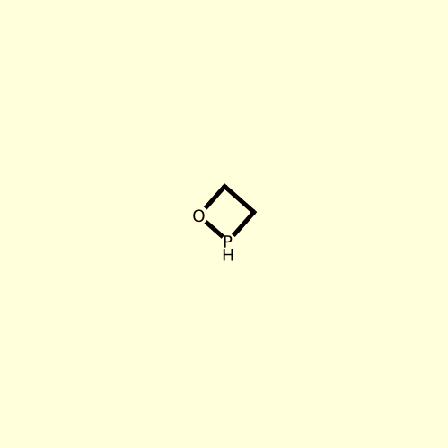 C1CPO1